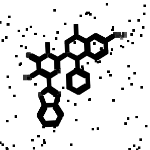 CC1CN(c2nc(-c3nc4ccccc4o3)c(O)c(=O)n2C)C(c2ccccc2)c2ccc(C(=O)O)cc21